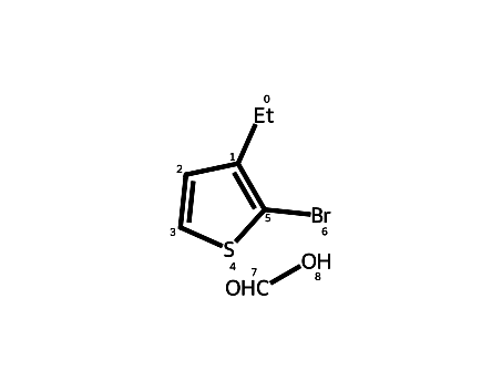 CCc1ccsc1Br.O=CO